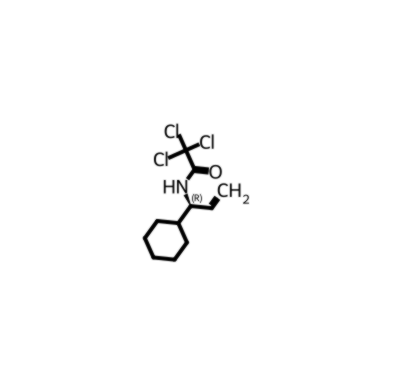 C=C[C@H](NC(=O)C(Cl)(Cl)Cl)C1CCCCC1